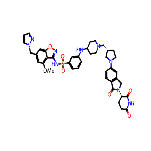 COc1cc(Cn2cccn2)cc2onc(NS(=O)(=O)c3cccc(NC4CCN(C[C@@H]5CCN(c6ccc7c(c6)CN([C@H]6CCC(=O)NC6=O)C7=O)C5)CC4)c3)c12